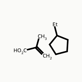 C=C(C)C(=O)O.CCC1CCCC1